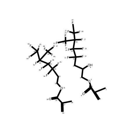 C=C(C)C(=O)OCC(O)CC(F)(F)C(F)(F)C(F)(C(F)(F)F)C(F)(F)F.C=C(C)C(=O)OCCC(F)(F)C(F)(F)C(F)(C(F)(F)F)C(F)(F)F